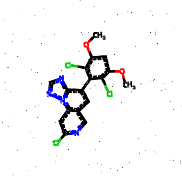 COc1cc(OC)c(Cl)c(-c2cc3cnc(Cl)cc3n3ncnc23)c1Cl